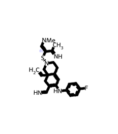 C=CC12CC(C=N)=C(Nc3ccc(F)cc3)C=C1CCN(S/C(=C/NC)C(C)=N)C2